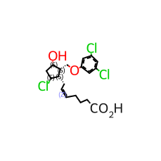 O=C(O)CCC/C=C\C[C@H]1[C@@H](COc2cc(Cl)cc(Cl)c2)[C@@H](O)C[C@@H]1Cl